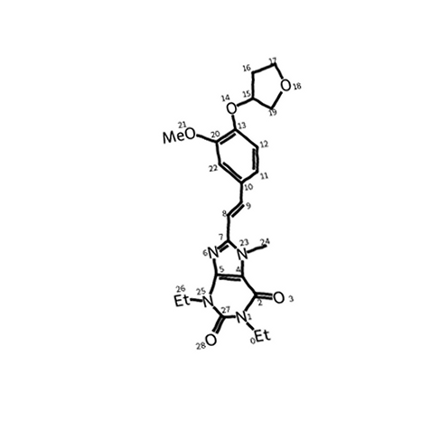 CCn1c(=O)c2c(nc(/C=C/c3ccc(OC4CCOC4)c(OC)c3)n2C)n(CC)c1=O